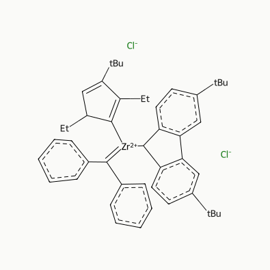 CCC1=[C]([Zr+2](=[C](c2ccccc2)c2ccccc2)[CH]2c3ccc(C(C)(C)C)cc3-c3cc(C(C)(C)C)ccc32)C(CC)C=C1C(C)(C)C.[Cl-].[Cl-]